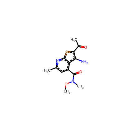 CON(C)C(=O)c1cc(C)nc2sc(C(C)=O)c(N)c12